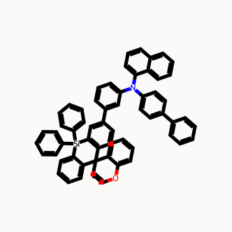 c1ccc(-c2ccc(N(c3cccc(-c4ccc5c(c4)[Si](c4ccccc4)(c4ccccc4)c4ccccc4C54c5ccccc5Oc5ccccc54)c3)c3cccc4ccccc34)cc2)cc1